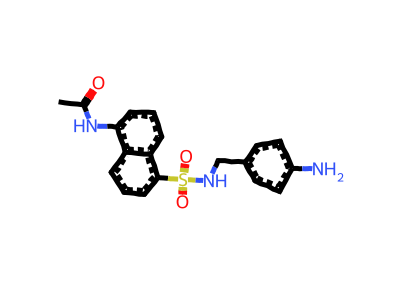 CC(=O)Nc1cccc2c(S(=O)(=O)NCc3ccc(N)cc3)cccc12